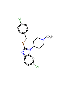 CCOC(=O)N1CCC(n2c(SCc3ccc(Cl)cc3)nc3ccc(Cl)cc32)CC1